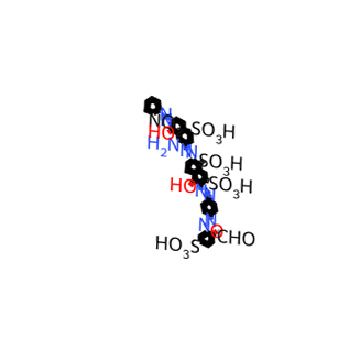 Nc1c(N=Nc2ccc3c(O)c(N=Nc4ccc(N=Nc5cc(S(=O)(=O)O)ccc5OC=O)cc4)c(S(=O)(=O)O)cc3c2S(=O)(=O)O)cc(S(=O)(=O)O)c2ccc(N=Nc3ccccc3[N+](=O)[O-])c(O)c12